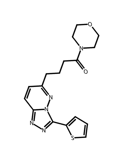 O=C(CCCc1ccc2nnc(-c3cccs3)n2n1)N1CCOCC1